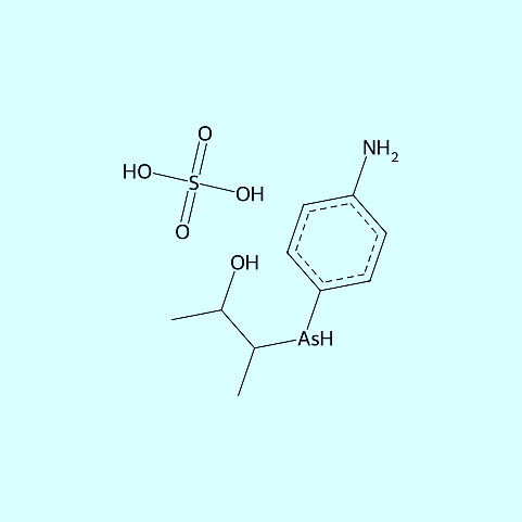 CC(O)C(C)[AsH]c1ccc(N)cc1.O=S(=O)(O)O